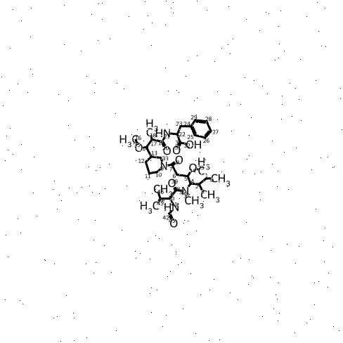 CCC(C)C(C(CC(=O)N1CCCC(C(OC)C(C)C(=O)NC(Cc2ccccc2)C(=O)O)C1)OC)N(C)C(=O)[C@@H](NC=O)C(C)C